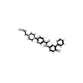 O=C(Nc1ccc(Cl)c(-c2ccccn2)c1)c1ccc(N2CCN(CCO)CC2)nc1